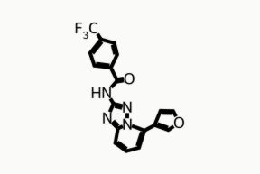 O=C(Nc1nc2cccc(-c3ccoc3)n2n1)c1ccc(C(F)(F)F)cc1